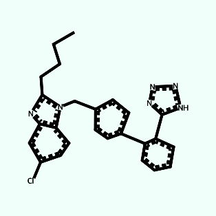 CCCCc1nc2cc(Cl)ccc2n1Cc1ccc(-c2ccccc2-c2nnn[nH]2)cc1